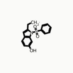 [CH2]Cc1cc2ccc(O)cc2n1S(=O)(=O)c1ccccc1